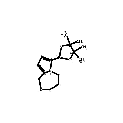 CC1(C)OB(c2ccc3n2CCCOC3)OC1(C)C